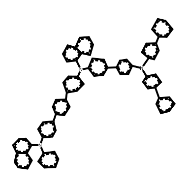 c1ccc(-c2ccc(N(c3ccc(-c4ccccc4)cc3)c3ccc(-c4ccc(N(c5ccc(-c6ccc(-c7ccc(N(c8ccccc8)c8cccc9ccccc89)cc7)cc6)cc5)c5cccc6ccccc56)cc4)cc3)cc2)cc1